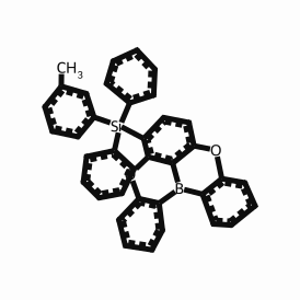 Cc1cccc([Si](c2ccccc2)(c2ccccc2)c2ccc3c4c2Oc2ccccc2B4c2ccccc2O3)c1